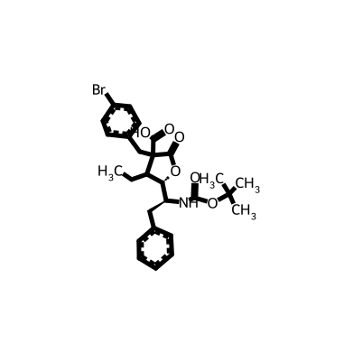 CCC1[C@@H]([C@H](Cc2ccccc2)NC(=O)OC(C)(C)C)OC(=O)C1(Cc1ccc(Br)cc1)C(=O)O